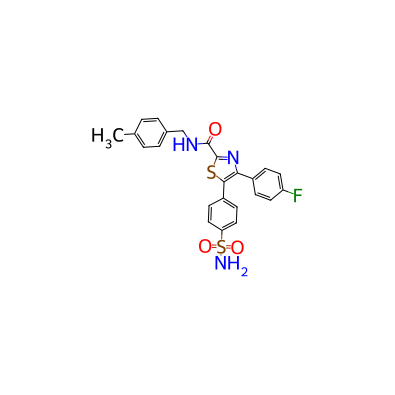 Cc1ccc(CNC(=O)c2nc(-c3ccc(F)cc3)c(-c3ccc(S(N)(=O)=O)cc3)s2)cc1